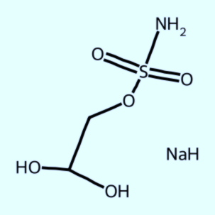 NS(=O)(=O)OCC(O)O.[NaH]